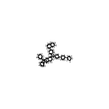 c1ccc(-c2ccc(-c3ccc(N(c4ccc(-c5cccc6ccccc56)cc4)c4ccc5cn6c(cc5c4)c(-c4ccccc4)c4ccccc46)cc3)cc2)cc1